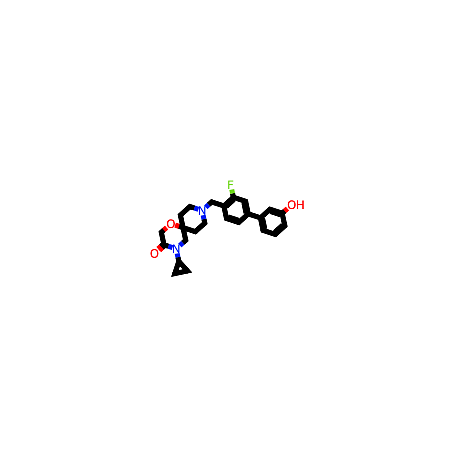 O=C1COC2(CCN(Cc3ccc(-c4cccc(O)c4)cc3F)CC2)CN1C1CC1